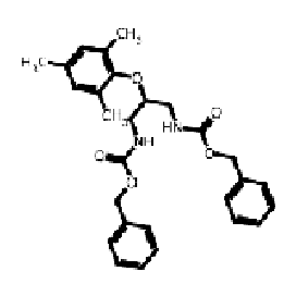 Cc1cc(C)c(OC(CNC(=O)OCc2ccccc2)CNC(=O)OCc2ccccc2)c(C)c1